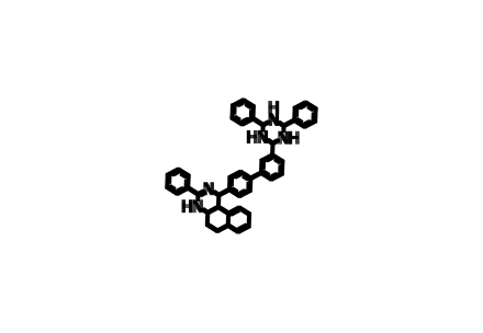 C1=CC2CCC3NC(c4ccccc4)=NC(c4ccc(-c5cccc(C6NC(c7ccccc7)NC(c7ccccc7)N6)c5)cc4)C3C2=CC1